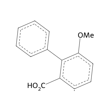 COc1cc[c]c(C(=O)O)c1-c1ccccc1